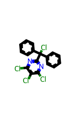 Clc1nc(C(Cl)(c2ccccc2)c2ccccc2)nc(Cl)c1Cl